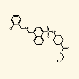 CCOC(=O)N1CCC(NS(=O)(=O)c2ccc(CNCc3ccccc3Cl)c3ccccc23)CC1